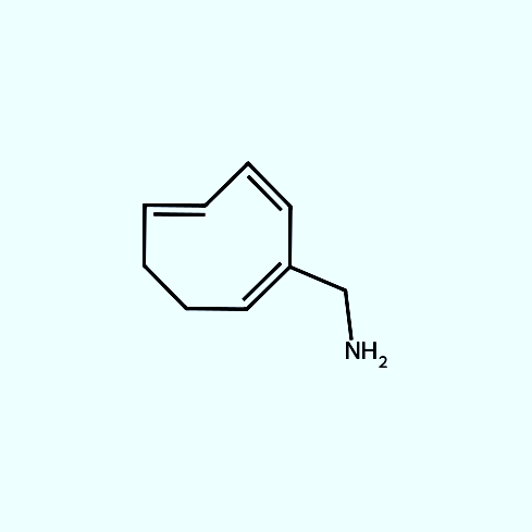 NCC1=C/CC/C=C/C=C\1